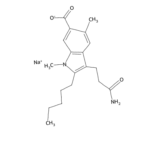 CCCCCc1c(CCC(N)=O)c2cc(C)c(C(=O)[O-])cc2n1C.[Na+]